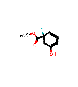 COC(=O)C1(F)C=CC=C(O)C1